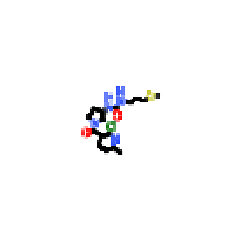 CSCCCNC(=O)N[C@@H]1CCN(C(=O)c2ccc(C)nc2Cl)C1